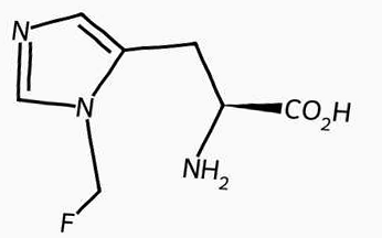 N[C@@H](Cc1cncn1CF)C(=O)O